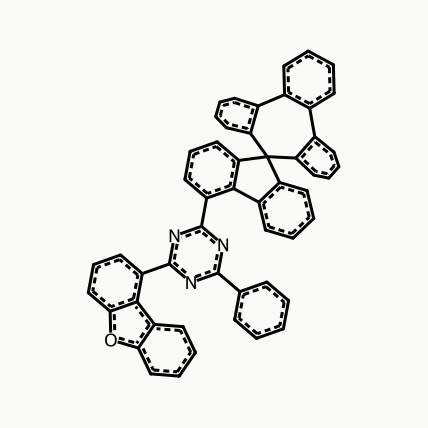 c1ccc(-c2nc(-c3cccc4c3-c3ccccc3C43c4ccccc4-c4ccccc4-c4ccccc43)nc(-c3cccc4oc5ccccc5c34)n2)cc1